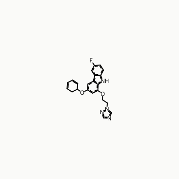 Fc1ccc2[nH]c3c(OCCn4cncn4)cc(OC4C=CC=CC4)cc3c2c1